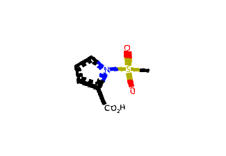 CS(=O)(=O)n1cccc1C(=O)O